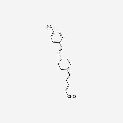 N#Cc1ccc(C=C[C@H]2CC[C@H](CCC=CC=O)CC2)cc1